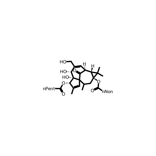 CCCCCCCCCC(=O)O[C@@]12CC(C)C34C=C(C)[C@H](OC(=O)CCCCC)[C@@]3(O)[C@H](O)C(CO)=C[C@H](C4=O)[C@@H]1C2(C)C